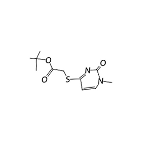 Cn1ccc(SCC(=O)OC(C)(C)C)nc1=O